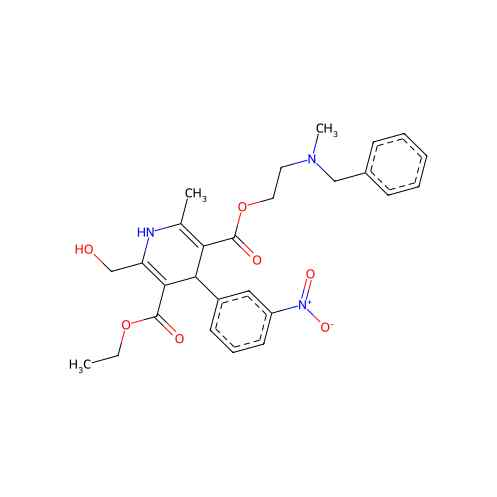 CCOC(=O)C1=C(CO)NC(C)=C(C(=O)OCCN(C)Cc2ccccc2)C1c1cccc([N+](=O)[O-])c1